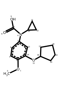 COc1ccc(N(C(=O)O)C2CC2)cc1OC1CCCC1